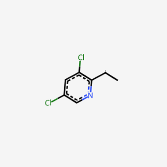 C[CH]c1ncc(Cl)cc1Cl